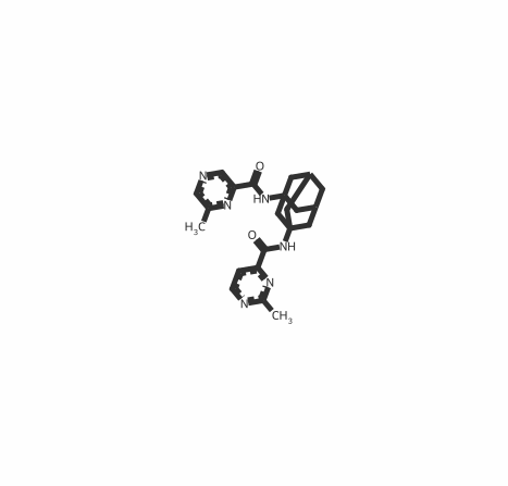 Cc1cncc(C(=O)NC23CC4CC(C2)CC(NC(=O)c2ccnc(C)n2)(C4)C3)n1